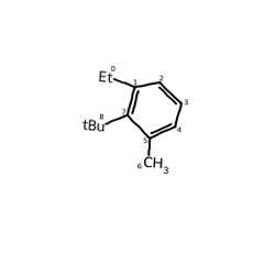 CCc1cccc(C)c1C(C)(C)C